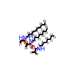 C=C(C)C(=O)NCCCCCCCC.C=CC(=O)NCCCCCCCC.C=CC(=O)NCCCCCCCCCC